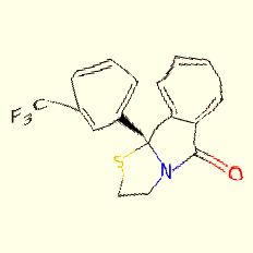 O=C1c2ccccc2[C@@]2(c3cccc(C(F)(F)F)c3)SCCN12